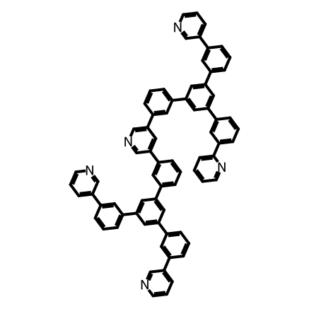 c1ccc(-c2cccc(-c3cc(-c4cccc(-c5cccnc5)c4)cc(-c4cccc(-c5cncc(-c6cccc(-c7cc(-c8cccc(-c9cccnc9)c8)cc(-c8cccc(-c9cccnc9)c8)c7)c6)c5)c4)c3)c2)nc1